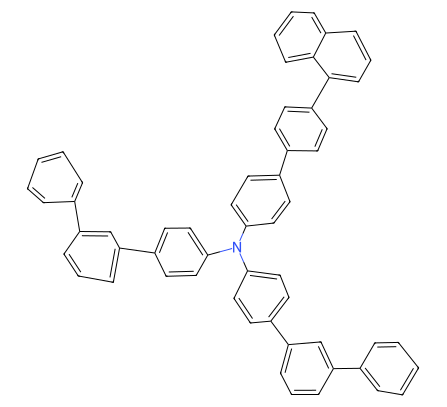 c1ccc(-c2cccc(-c3ccc(N(c4ccc(-c5ccc(-c6cccc7ccccc67)cc5)cc4)c4ccc(-c5cccc(-c6ccccc6)c5)cc4)cc3)c2)cc1